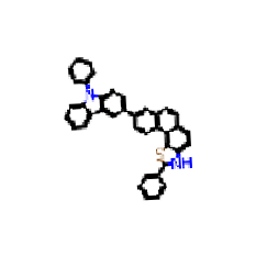 c1ccc(C2Nc3ccc4ccc5cc(-c6ccc7c(c6)c6ccccc6n7-c6ccccc6)ccc5c4c3S2)cc1